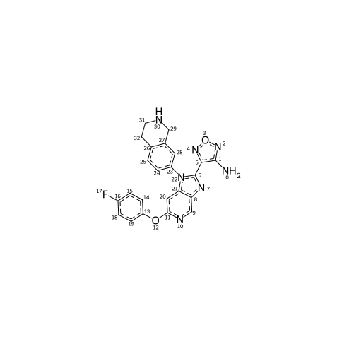 Nc1nonc1-c1nc2cnc(Oc3ccc(F)cc3)cc2n1-c1ccc2c(c1)CNCC2